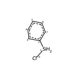 Cl[SiH2]c1ccccc1